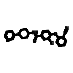 N#Cc1ccccc1Oc1ccc(C(=O)NC2CCN(c3cccnc3)CC2)cc1Cl